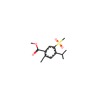 COC(=O)c1cc(S(C)(=O)=O)c(C(C)C)cc1C